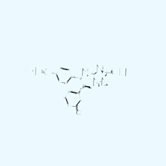 Cc1nc2nc(-c3ccc(C=O)cc3)c(-c3cccc(F)c3)cn2n1